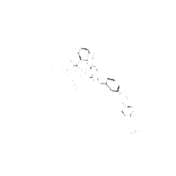 CCOc1ccc(COc2cccc(CN3CCN(c4ncccc4C(=O)OC(C)C)CC3)c2)cc1